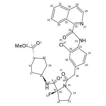 COC(=O)[C@H]1CC[C@H](NC(=O)[C@@]2(F)CCCN2C(=O)Cc2ccc(NC(=O)c3nccc4ccccc34)c(Cl)c2)CC1